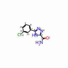 NC(=O)c1nnc(-c2cccc(Cl)c2)[nH]1